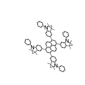 CC12CC1(C)N(c1ccccc1)c1cc(-c3cc(-c4ccc5c(c4)C4(C)CC4(C)N5c4ccccc4)c4ccc5c(-c6ccc7c(c6)C6(C)CC6(C)N7c6ccccc6)cc(-c6ccc7c(c6)C6(C)CC6(C)N7c6ccccc6)c6ccc3c4c65)ccc12